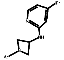 CC(=O)N1CC(Nc2cc(C(C)C)ccn2)C1